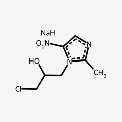 Cc1ncc([N+](=O)[O-])n1CC(O)CCl.[NaH]